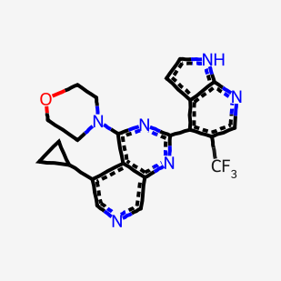 FC(F)(F)c1cnc2[nH]ccc2c1-c1nc(N2CCOCC2)c2c(C3CC3)cncc2n1